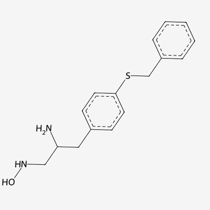 NC(CNO)Cc1ccc(SCc2ccccc2)cc1